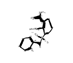 CNc1c(C(N)=O)cccc1S(=O)(=O)Cc1ccccc1